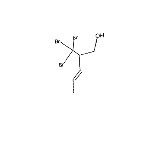 C/C=C/C(CO)C(Br)(Br)Br